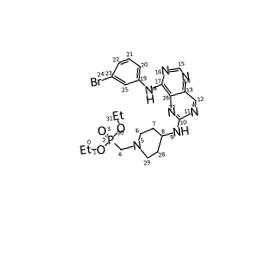 CCOP(=O)(CN1CCC(Nc2ncc3ncnc(Nc4cccc(Br)c4)c3n2)CC1)OCC